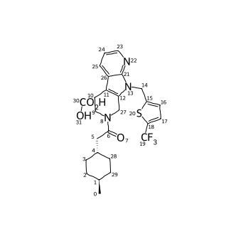 C[C@H]1CC[C@H](CC(=O)N2CCc3c(n(Cc4ccc(C(F)(F)F)s4)c4ncccc34)C2)CC1.O=C(O)O